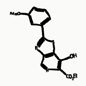 CCOC(=O)c1ncc2nc(-c3cccc(OC)c3)sc2c1O